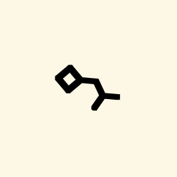 CC(C)CC1CCC1